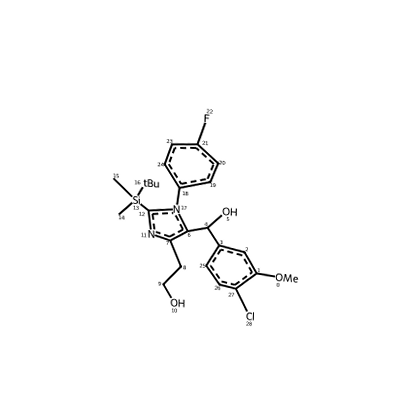 COc1cc(C(O)c2c(CCO)nc([Si](C)(C)C(C)(C)C)n2-c2ccc(F)cc2)ccc1Cl